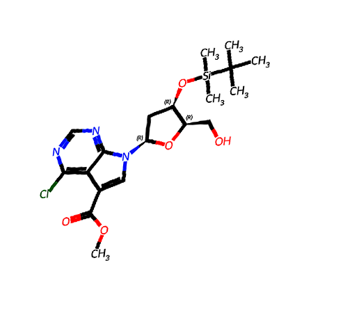 COC(=O)c1cn([C@H]2C[C@@H](O[Si](C)(C)C(C)(C)C)[C@@H](CO)O2)c2ncnc(Cl)c12